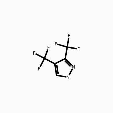 FC(F)(F)C1=C[N]N=C1C(F)(F)F